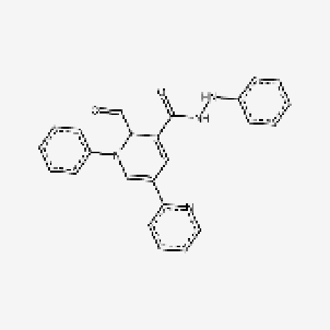 O=CC1C(C(=O)NNc2ccccc2)=CC(c2ccccn2)=CN1c1ccccc1